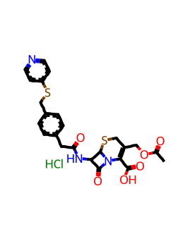 CC(=O)OCC1=C(C(=O)O)N2C(=O)C(NC(=O)Cc3ccc(CSc4ccncc4)cc3)C2SC1.Cl